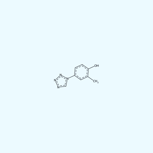 Cc1cc(-n2cnnn2)ccc1O